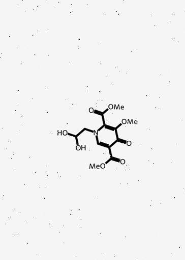 COC(=O)c1cn(CC(O)O)c(C(=O)OC)c(OC)c1=O